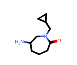 NC1CCCC(=O)N(CC2CC2)C1